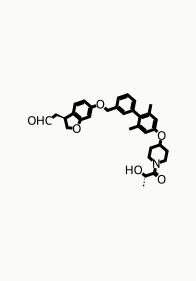 Cc1cc(OC2CCN(C(=O)[C@H](C)O)CC2)cc(C)c1-c1cccc(COc2ccc3c(c2)OC[C@H]3CC=O)c1